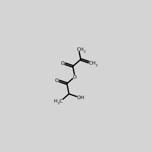 C=C(C)C(=O)OC(=O)C(C)O